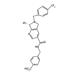 CC(C)[C@H]1c2ncc(C(=O)NCc3ccc(C(=O)O)cc3)cc2CN1Cc1ccc(C(F)(F)F)cc1